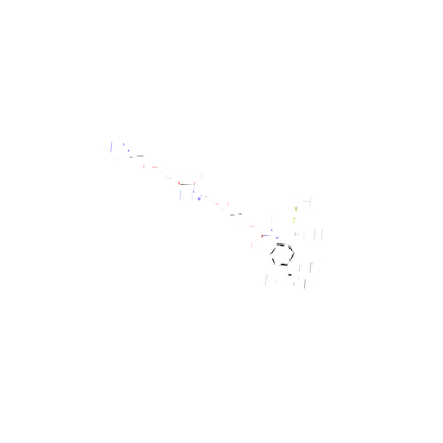 CSSC(C)c1cc(C(C)(C)C)ccc1NC(=O)COCCOCCNC(=O)COCCOCCN